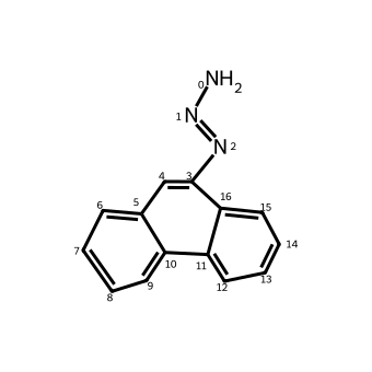 NN=Nc1cc2ccccc2c2ccccc12